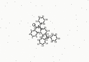 O=c1c2ccccc2c2c3c4ccccc4n(-c4ccccc4)c3ccc2n1-c1ccccc1